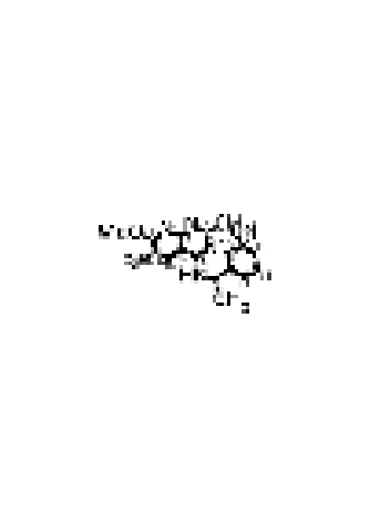 COc1nc2nc(C)nc(N[C@H](C)c3cccc(C#N)c3)c2cc1Br